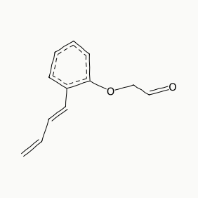 C=C/C=C/c1ccccc1OCC=O